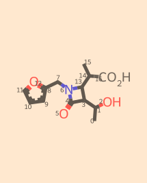 CC(O)C1C(=O)N(Cc2ccco2)C1C(C)C(=O)O